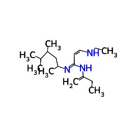 C=C(CC)NC(/C=C\NCC)=N/C(C)CC(C)C(C)C